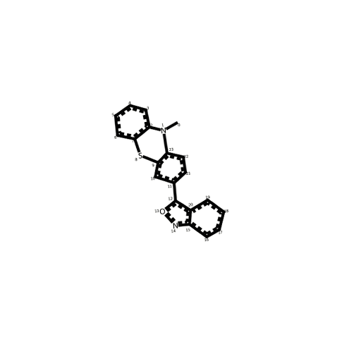 CN1c2ccccc2Sc2cc(-c3onc4ccccc34)ccc21